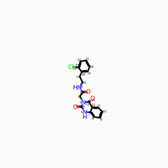 O=C(Cn1c(=O)[nH]c2ccccc2c1=O)NCCc1ccccc1Cl